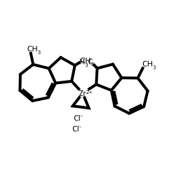 CC1CC=CC=C2C1CC(C)[CH]2[Zr+2]1([CH]2C3=CC=CCC(C)C3CC2C)[CH2][CH2]1.[Cl-].[Cl-]